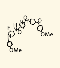 COc1ccc(CN2CC[C@@H](NC(=O)c3ccc(C(=O)N4CCC(C(=O)c5ccc(OC)cc5)CC4)nc3)[C@H](F)C2)cc1